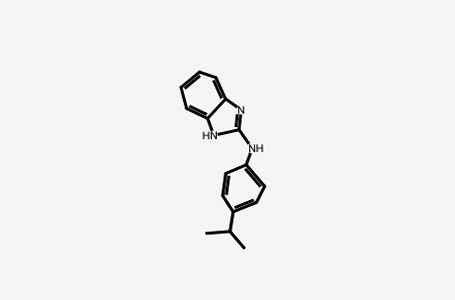 CC(C)c1ccc(Nc2nc3ccccc3[nH]2)cc1